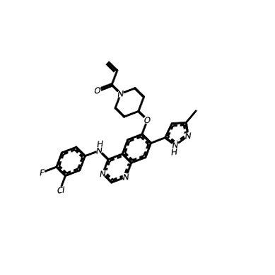 C=CC(=O)N1CCC(Oc2cc3c(Nc4ccc(F)c(Cl)c4)ncnc3cc2-c2cc(C)n[nH]2)CC1